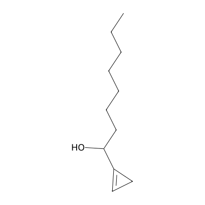 CCCCCCCC(O)C1=CC1